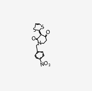 O=C1CCN(Cc2ccc([N+](=O)[O-])cc2)C(=O)C1=C1SC=CS1